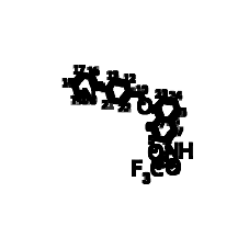 O=S(=O)(Nc1ccc2c(OCc3ccc(-c4ccccn4)cc3)cccc2c1)C(F)(F)F